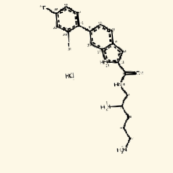 Cl.NCCCC(N)CNC(=O)c1cc2ccc(-c3ccc(F)cc3F)cc2[nH]1